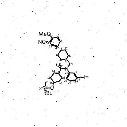 COc1ccc([C@H]2CC[C@H](CN(C(=O)C3CCC(O[Si](C)(C)C(C)(C)C)CC3)c3cccc(I)c3)CC2)cc1C#N